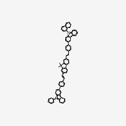 CC1(C)c2cc(/C=C/c3ccc(-c4ccc5c(c4)c4ccccc4n5-c4ccccc4)cc3)ccc2-c2ccc(/C=C/c3ccc(-c4ccc5c(c4)c4ccccc4n5-c4cccc5ccccc45)cc3)cc21